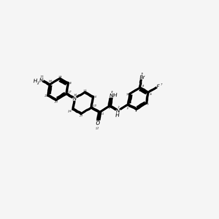 N=C(Nc1ccc(F)c(Br)c1)C(=O)C1CCN(c2ccc(N)cc2)CC1